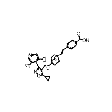 O=C(O)c1ccc(C=CC23CCC(OCc4c(-c5c(Cl)cncc5Cl)noc4C4CC4)(CC2)CC3)cc1